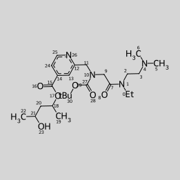 CCN(CCN(C)C)C(=O)CN(Cc1cc(C(=O)OC(C)CC(C)O)ccn1)C(=O)OC(C)(C)C